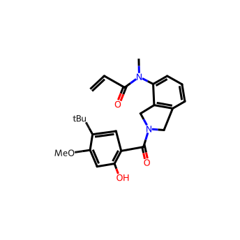 C=CC(=O)N(C)c1cccc2c1CN(C(=O)c1cc(C(C)(C)C)c(OC)cc1O)C2